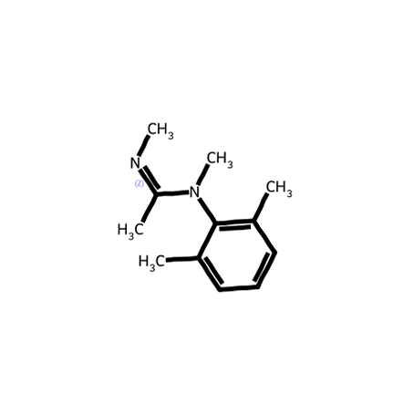 C/N=C(/C)N(C)c1c(C)cccc1C